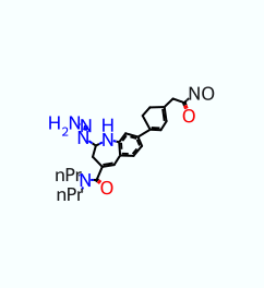 CCCN(CCC)C(=O)C1=Cc2ccc(C3=CC=C(CC(=O)N=O)CC3)cc2NC(N=NN)C1